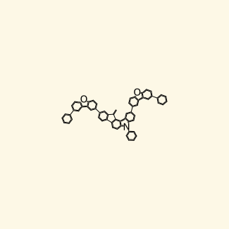 C=C1c2cc(-c3ccc4oc5ccc(-c6ccccc6)cc5c4c3)ccc2-c2ccc3c(c21)c1cc(-c2ccc4oc5ccc(-c6ccccc6)cc5c4c2)ccc1n3-c1ccccc1